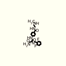 CNCCNC(=O)c1ccc(Nc2oc(-c3c(F)cccc3F)nc2C(N)=O)cc1